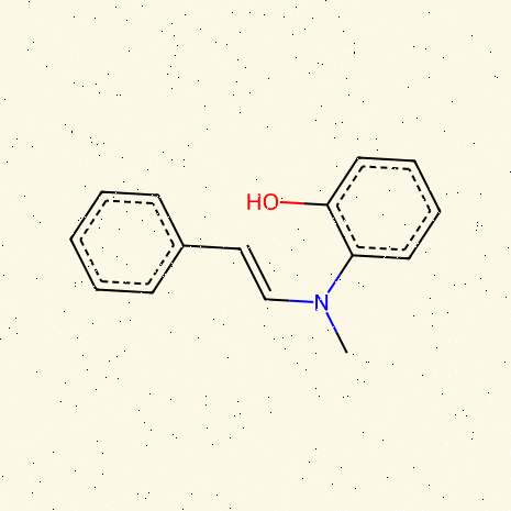 CN(C=Cc1ccccc1)c1ccccc1O